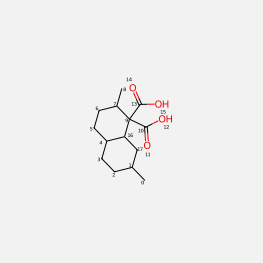 CC1CCC2CCC(C)C(C(=O)O)(C(=O)O)C2C1